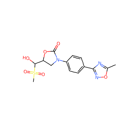 Cc1nc(-c2ccc(N3CC(C(O)S(C)(=O)=O)OC3=O)cc2)no1